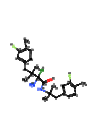 Cc1ccc(CC(C)(C)NC(=O)C(N)(Cl)C(C)(C)Cc2ccc(C)c(F)c2)cc1F